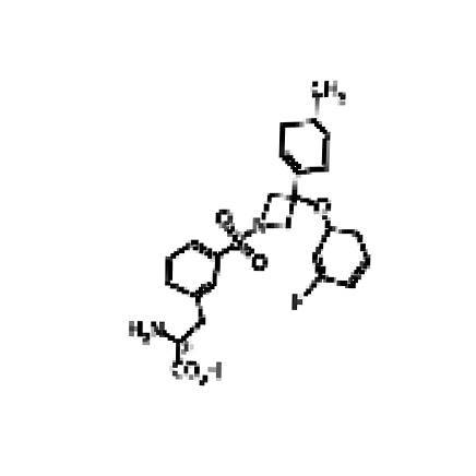 CC1C=CC(C2(OC3C=C(F)C=CC3)CN(S(=O)(=O)c3cccc(C[C@H](N)C(=O)O)c3)C2)=CC1